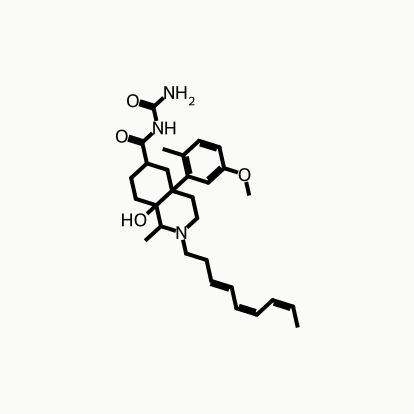 C\C=C/C=C\C=C\CCN1CCC2(c3cc(OC)ccc3C)CC(C(=O)NC(N)=O)CCC2(O)C1C